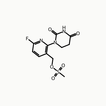 CS(=O)(=O)OCc1ccc(F)nc1N1CCC(=O)NC1=O